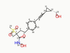 CC(CCc1ccc(C#C[C@H]2C[C@@H]2CO)cc1)(C(=O)NO)S(C)(=O)=O